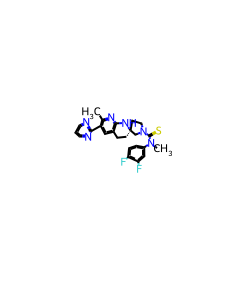 Cc1nc2c(cc1-c1ncccn1)CC[C@@]1(CCN(C(=S)N(C)c3ccc(F)c(F)c3)C1)N2